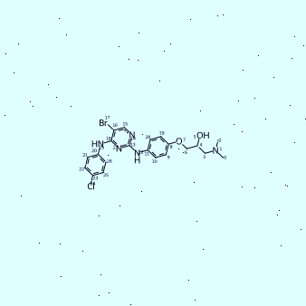 CN(C)CC(O)COc1ccc(Nc2ncc(Br)c(Nc3ccc(Cl)cc3)n2)cc1